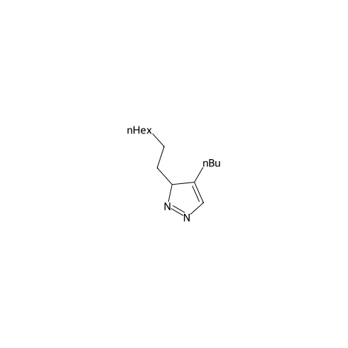 CCCCCCCCC1N=NC=C1CCCC